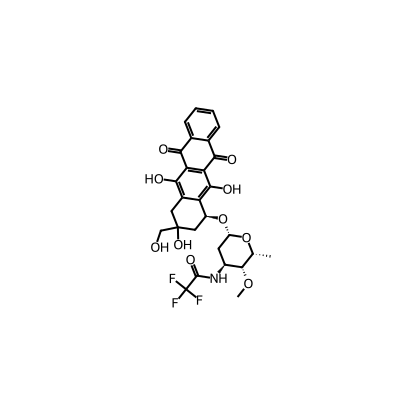 CO[C@@H]1[C@@H](NC(=O)C(F)(F)F)C[C@H](O[C@H]2CC(O)(CO)Cc3c(O)c4c(c(O)c32)C(=O)c2ccccc2C4=O)O[C@@H]1C